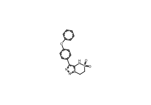 O=S1(=O)CCn2nnc(-c3ccc(Oc4ccccc4)cc3)c2N1